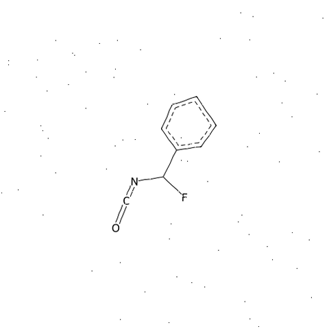 O=C=NC(F)c1ccccc1